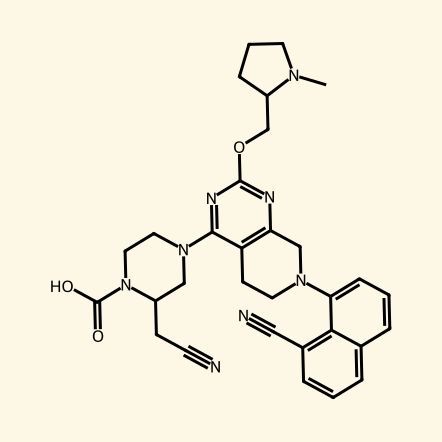 CN1CCCC1COc1nc2c(c(N3CCN(C(=O)O)C(CC#N)C3)n1)CCN(c1cccc3cccc(C#N)c13)C2